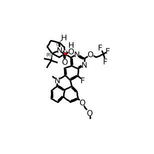 COCOc1cc(-c2c(N(C)C)cc3c(N4C[C@@H]5CC[C@@](C(C)(C)C)(C4)N5C(=O)O)nc(OCC(F)(F)F)nc3c2F)c2ccccc2c1